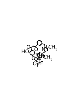 Cc1cc(C)n(Cc2cccc(-c3cc(=O)c4c(O)cc(O)c([C@H]5CCN(C)C[C@H]5OC(=O)C(F)(F)F)c4o3)c2)n1